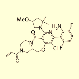 C=CC(=O)N1CCN2C(=O)c3c(N4CC(OC)CC4(C)C)nc(-c4c(F)ccc(F)c4N)c(Cl)c3OCC2C1